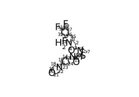 NC(CC(=O)N1CCSC1C(=O)Nc1ccc(N2CCOCC2)cc1)Cc1cc(F)c(F)cc1F